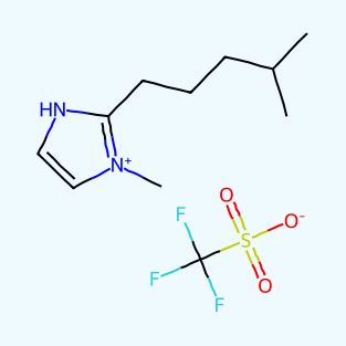 CC(C)CCCc1[nH]cc[n+]1C.O=S(=O)([O-])C(F)(F)F